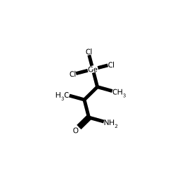 CC(C(N)=O)[CH](C)[Ge]([Cl])([Cl])[Cl]